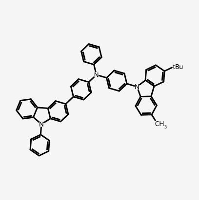 Cc1ccc2c(c1)c1cc(C(C)(C)C)ccc1n2-c1ccc(N(c2ccccc2)c2ccc(-c3ccc4c(c3)c3ccccc3n4-c3ccccc3)cc2)cc1